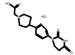 Cl.O=C(O)CN1CCC(c2ccc(N3CCC(=O)NC3=O)cc2)CC1